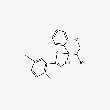 CCCC1COc2ccccc2C12NN=C(c1cc(F)ccc1F)S2